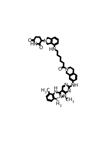 Cc1cccc(C)c1Nc1nn(C)c2nc(Nc3ccc4c(c3)CN(C(=O)CCCCCNc3cccc5c3CN(C3CCC(=O)NC3=O)C5)CC4)ncc12